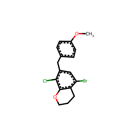 COc1ccc(Cc2cc(Br)c3c(c2Cl)OCCC3)cc1